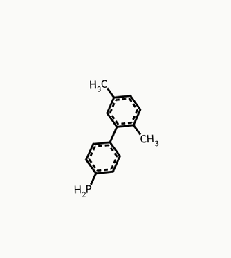 Cc1ccc(C)c(-c2ccc(P)cc2)c1